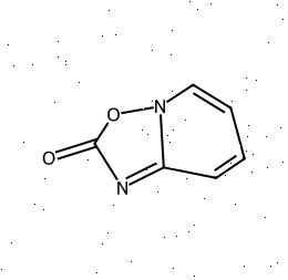 O=c1nc2ccccn2o1